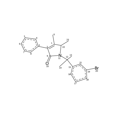 CC1=C(c2ccccc2)C(=O)N(C(C)(C)c2cccc(Br)c2)C1C